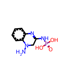 NN1CC(NP(=O)(O)O)=Nc2ccccc21